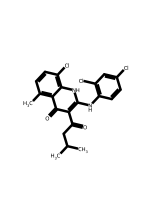 Cc1ccc(Cl)c2[nH]c(Nc3ccc(Cl)cc3Cl)c(C(=O)CC(C)C)c(=O)c12